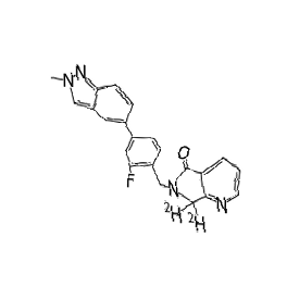 [2H]C1([2H])c2ncccc2C(=O)N1Cc1ccc(-c2ccc3nn(C)cc3c2)cc1F